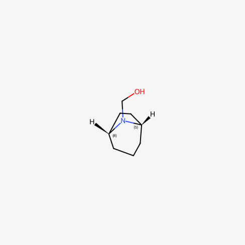 OCN1[C@@H]2CCC[C@H]1CC2